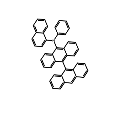 c1ccc(N(c2cccc3ccccc23)c2c3ccccc3c(-c3c4ccccc4cc4ccccc34)c3ccccc23)cc1